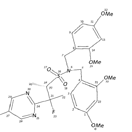 COc1ccc(CN(Cc2ccc(OC)cc2OC)S(=O)(=O)[C@@H](C)C(C)(F)c2ncc(Br)cn2)c(OC)c1